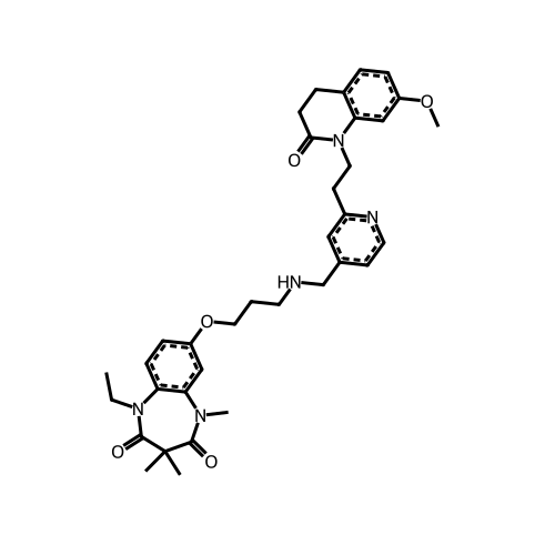 CCN1C(=O)C(C)(C)C(=O)N(C)c2cc(OCCCNCc3ccnc(CCN4C(=O)CCc5ccc(OC)cc54)c3)ccc21